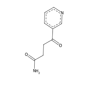 NC(=O)CCC(=O)c1cccnc1